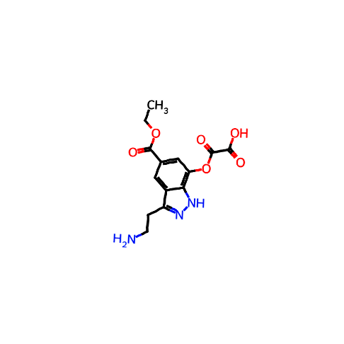 CCOC(=O)c1cc(OC(=O)C(=O)O)c2[nH]nc(CCN)c2c1